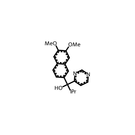 COc1cc2ccc(C(O)(c3ccncn3)C(C)C)cc2cc1OC